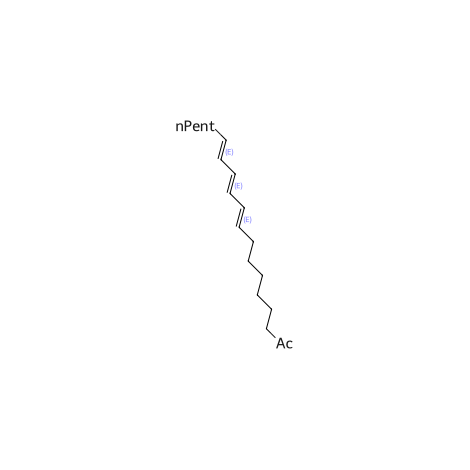 CCCCC/C=C/C=C/C=C/CCCCCCC(C)=O